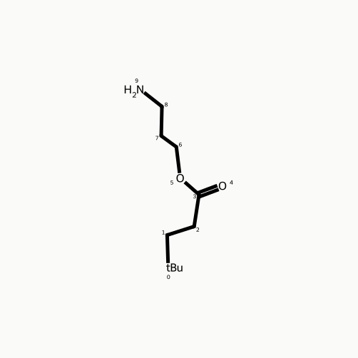 CC(C)(C)CCC(=O)OCCCN